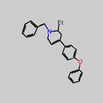 CCC1CC(c2ccc(Oc3ccccc3)cc2)=CCN1Cc1ccccc1